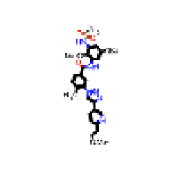 CNCCc1ccc(-c2cn(-c3cc(C(=O)Nc4cc(C(C)(C)C)cc(NS(C)(=O)=O)c4OC)ccc3C)nn2)cn1